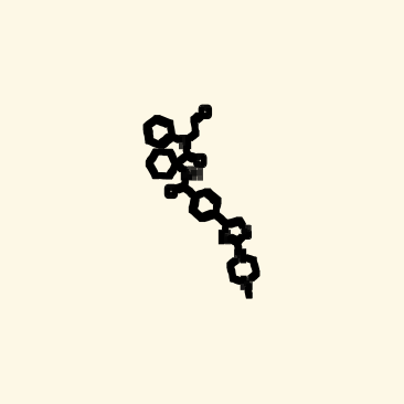 CN1CCN(c2nc(-c3ccc(C(=O)NC4(C(=O)N(CC=O)c5ccccc5)CCCCC4)cc3)cs2)CC1